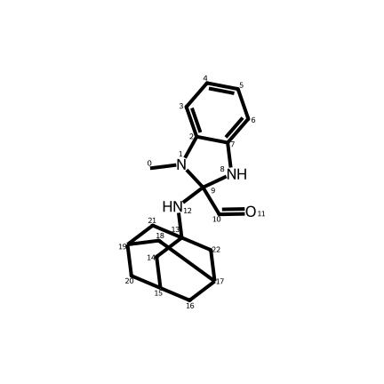 CN1c2ccccc2NC1(C=O)NC12CC3CC(CC(C3)C1)C2